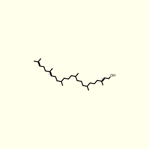 CC(C)=CCC/C(C)=C/CCC(C)CCCC(C)CCCC(C)CCC/C(C)=C/CO